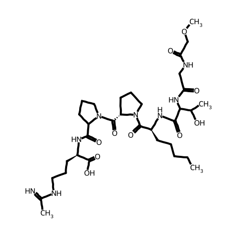 CCCCC[C@H](NC(=O)C(NC(=O)CNC(=O)COC)C(C)O)C(=O)N1CCC[C@H]1C(=O)N1CCCC1C(=O)N[C@H](CCCNC(C)=N)C(=O)O